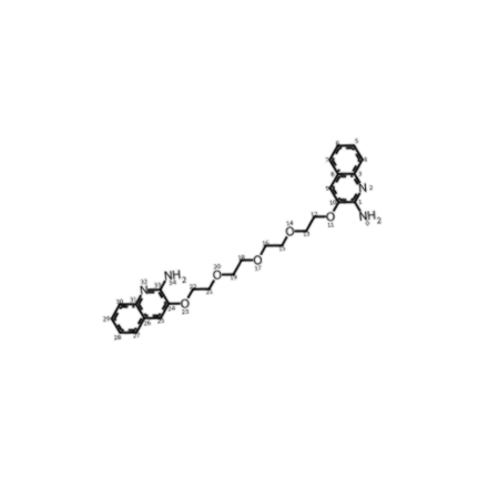 Nc1nc2ccccc2cc1OCCOCCOCCOCCOc1cc2ccccc2nc1N